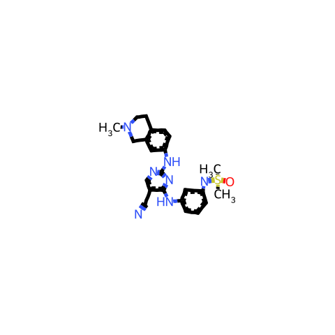 CN1CCc2ccc(Nc3ncc(C#N)c(Nc4cccc(N=S(C)(C)=O)c4)n3)cc2C1